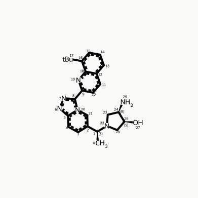 C[C@@H](c1ccc2nnc(-c3ccc4cccc(C(C)(C)C)c4n3)n2c1)N1C[C@@H](N)[C@@H](O)C1